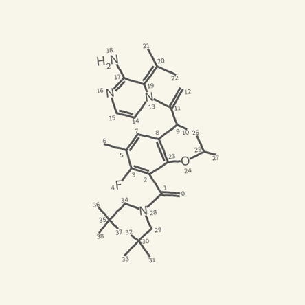 C=C(c1c(F)c(C)cc(C(C)C(=C)N2C=CN=C(N)C2=C(C)C)c1OC(C)C)N(CC(C)(C)C)CC(C)(C)C